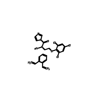 C=Cc1ccccc1C=C.CCCN(CCOc1c(Cl)cc(Cl)cc1Cl)C(=O)n1ccnc1